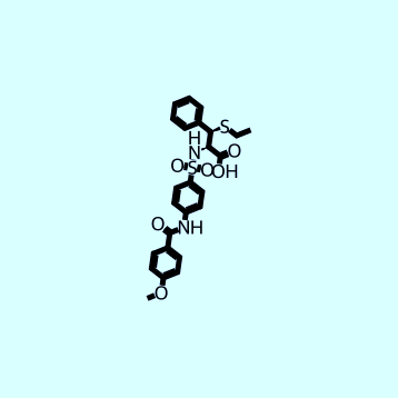 CCS[C@H](c1ccccc1)[C@@H](NS(=O)(=O)c1ccc(NC(=O)c2ccc(OC)cc2)cc1)C(=O)O